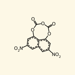 O=C1OC(=O)Oc2cc([N+](=O)[O-])cc3cc([N+](=O)[O-])cc(c23)O1